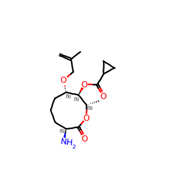 C=C(C)CO[C@H]1CCC[C@H](N)C(=O)O[C@@H](C)[C@@H]1OC(=O)C1CC1